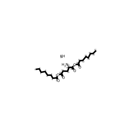 CCCCCCCC(=O)OC(=O)CC[C@H](N)C(=O)OC(=O)CCCCCCC.[KH]